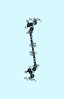 CN(C)[C@@H]1CCCN([C@H]2Cc3c(C#N)cc(Cl)cc3[C@@H]2Oc2ccc(S(=O)(=O)NCCOCCOCCNC(=O)NCCCCNC(=O)NCCOCCOCCNS(=O)(=O)c3ccc(O[C@H]4c5cc(Cl)cc(C#N)c5C[C@@H]4N4CCC[C@H](N(C)C)C4)cc3)cc2)C1